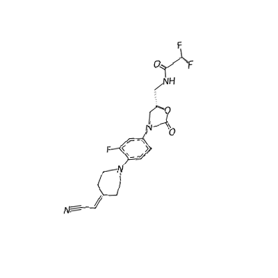 N#CC=C1CCN(c2ccc(N3C[C@H](CNC(=O)C(F)F)OC3=O)cc2F)CC1